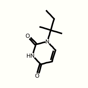 CCC(C)(C)n1ccc(=O)[nH]c1=O